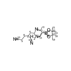 CC(=N/CCC(C#N)CCC#N)/C(=C\N)B1OC(C)(C)C(C)(C)O1